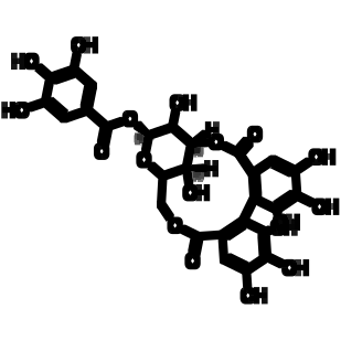 O=C(O[C@@H]1OC2COC(=O)c3cc(O)c(O)c(O)c3-c3c(cc(O)c(O)c3O)C(=O)O[C@@H](C1O)[C@@H]2O)c1cc(O)c(O)c(O)c1